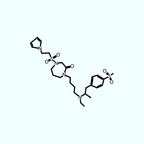 CCN(CCCCN1CCCN(S(=O)(=O)CCn2cccc2)CC1=O)C(C)Cc1ccc(S(C)(=O)=O)cc1